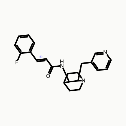 O=C(/C=C/c1ccccc1F)NC1C2CCN(CC2)C1Cc1cccnc1